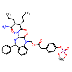 CC(C)(C)OP(=O)(Oc1ccc(CC(=O)OCN2C(=O)[C@@H](NC(=O)[C@H](CCC(F)(F)F)[C@H](CCC(F)(F)F)C(N)=O)N=C(c3ccccc3)c3ccccc32)cc1)OC(C)(C)C